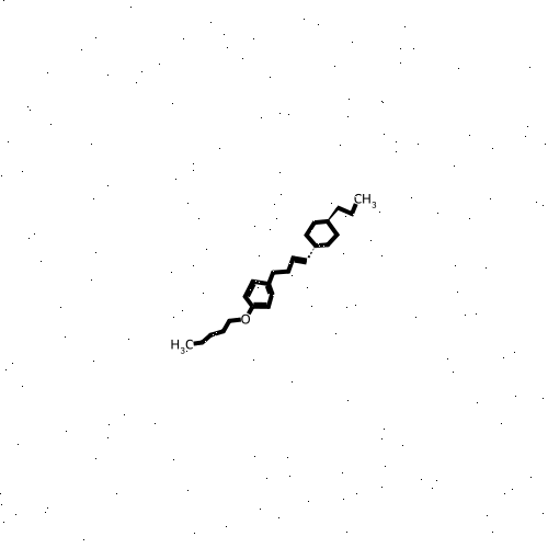 CCCCCOc1ccc(CC/C=C/[C@H]2CC[C@H](CCC)CC2)cc1